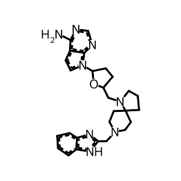 Nc1ncnc2c1ccn2C1CCC(CN2CCCC23CCN(Cc2nc4ccccc4[nH]2)CC3)O1